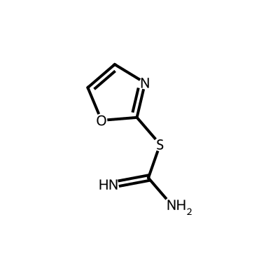 N=C(N)Sc1ncco1